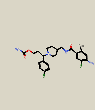 COc1cc(N)c(Cl)cc1C(=O)NCC1CCN(C(CCOC(N)=O)c2ccc(Cl)cc2)CC1